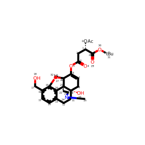 CC(=O)O[C@@H](CC(=O)OC1=CC[C@@]2(O)C3Cc4ccc(CO)c5c4[C@@]2(CCN3C)[C@H]1O5)C(=O)OC(C)(C)C